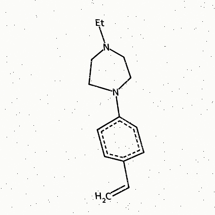 C=Cc1ccc(N2CCN(CC)CC2)cc1